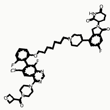 O=C1CCC(N2Cc3c(cc(F)cc3C3CCN(CCCCCCCOc4cccc(F)c4-c4c(Cl)cc5c(N6CCN(C(=O)C7COC7)CC6)ncnc5c4F)CC3)C2=O)C(=O)N1